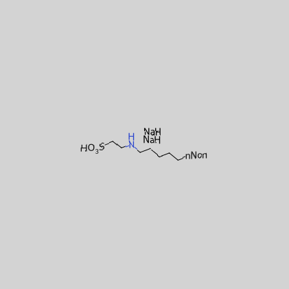 CCCCCCCCCCCCCCNCCS(=O)(=O)O.[NaH].[NaH]